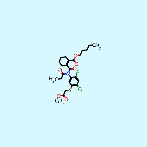 CCCCCOC(=O)C1=C(C(=O)N(C(=O)CC)c2cc(SCC(=O)OC)c(Cl)cc2F)CCCC1